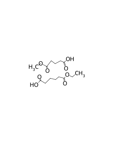 CCOC(=O)CCCCC(=O)O.COC(=O)CCCC(=O)O